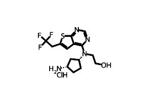 Cl.N[C@H]1CC[C@@H](N(CCO)c2ncnc3sc(CC(F)(F)F)cc23)C1